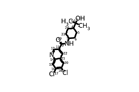 CC(C)(O)C1CCC(NC(=O)c2cnc3cc(Cl)c(Cl)cc3c2)CC1